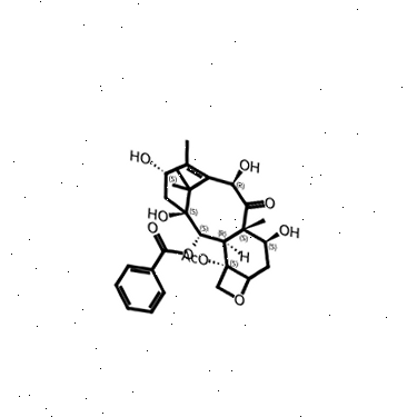 CC(=O)O[C@@]12COC1C[C@H](O)[C@@]1(C)C(=O)[C@H](O)C3=C(C)[C@@H](O)C[C@@](O)([C@@H](OC(=O)c4ccccc4)[C@@H]12)C3(C)C